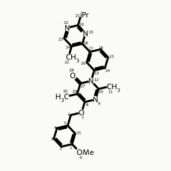 COc1cccc(COc2nc(C)n(-c3cccc(-c4nc(C(C)C)ncc4C)c3)c(=O)c2C)c1